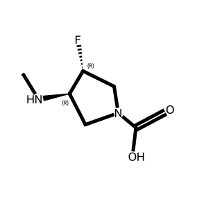 CN[C@@H]1CN(C(=O)O)C[C@H]1F